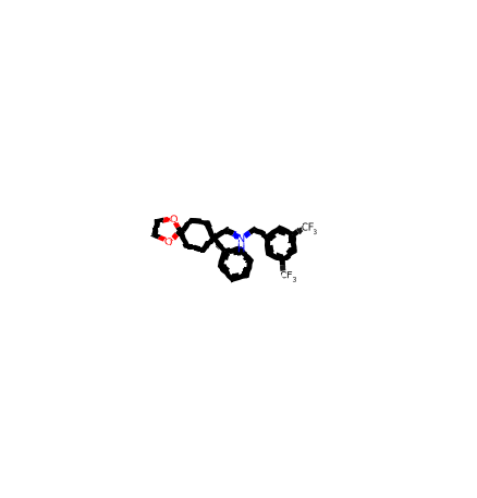 FC(F)(F)c1cc(CNCC2(c3ccccc3)CCC3(CC2)OCCO3)cc(C(F)(F)F)c1